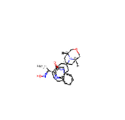 CCOC(=O)C(=NO)c1nc2ccccc2n([C@H]2C[C@H]3COC[C@@H](C2)N3C2CC3CCCCC(C3)C2)c1=O